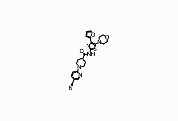 N#Cc1ccc(N2CCC(C(=O)Nc3nc(-c4ccco4)c(N4CCOCC4)s3)CC2)nc1